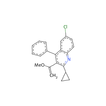 C=C(OC)c1c(C2CC2)nc2ccc(Cl)cc2c1-c1ccccc1